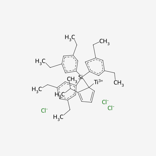 CCc1cc(CC)cc([Si](c2cc(CC)cc(CC)c2)(c2cc(CC)cc(CC)c2)[C]2([Ti+3])C=CC=C2C(C)C)c1.[Cl-].[Cl-].[Cl-]